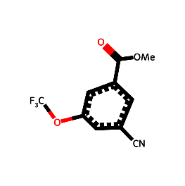 COC(=O)c1cc(C#N)cc(OC(F)(F)F)c1